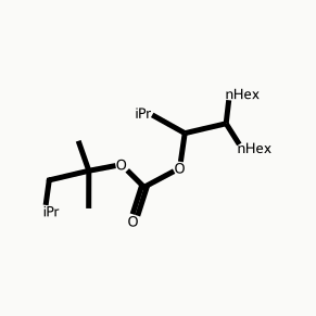 CCCCCCC(CCCCCC)C(OC(=O)OC(C)(C)CC(C)C)C(C)C